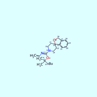 C=C/N=C(\OC(C)(C)CCCC)N1CCC2(CC1)OCc1ccccc12